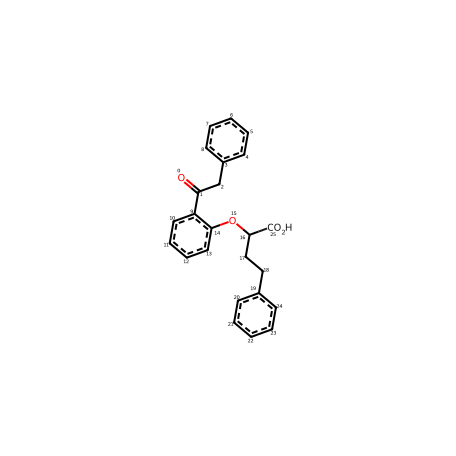 O=C(Cc1ccccc1)c1ccccc1OC(CCc1ccccc1)C(=O)O